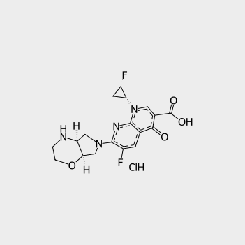 Cl.O=C(O)c1cn([C@@H]2C[C@@H]2F)c2nc(N3C[C@@H]4NCCO[C@@H]4C3)c(F)cc2c1=O